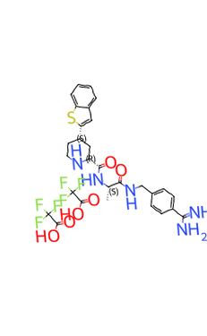 C[C@H](NC(=O)[C@H]1C[C@@H](c2cc3ccccc3s2)CCN1)C(=O)NCc1ccc(C(=N)N)cc1.O=C(O)C(F)(F)F.O=C(O)C(F)(F)F